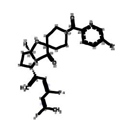 C=C(/C=C(F)\C=C(/C)F)[C@@H]1CC[C@H]2OC3(CCN(C(=O)c4ccc(Br)cn4)CC3)C(=O)N21